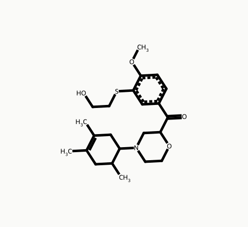 COc1ccc(C(=O)C2CN(C3CC(C)=C(C)CC3C)CCO2)cc1SCCO